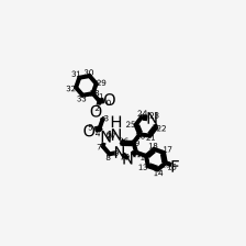 O=C(OCC(=O)N1CCn2nc(-c3ccc(F)cc3)c(-c3ccncc3)c2N1)C1CCCCC1